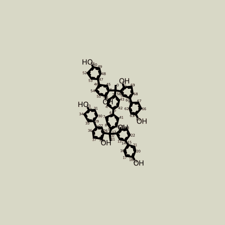 CC(c1ccc(-c2ccc(C(C)(c3cc(-c4ccc(O)cc4)ccc3O)c3cc(-c4ccc(O)cc4)ccc3O)cc2)cc1)(c1cc(-c2ccc(O)cc2)ccc1O)c1cc(-c2ccc(O)cc2)ccc1O